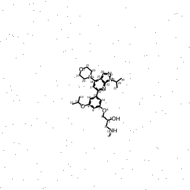 CNCC(O)COc1cc(OC(C)C)cc(-c2cc(N3CCOCC3)c3cnn(C(C)C)c3n2)c1